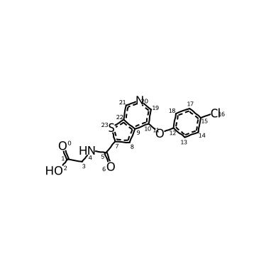 O=C(O)CNC(=O)c1cc2c(Oc3ccc(Cl)cc3)cncc2s1